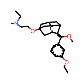 CCOc1cccc(C(OC)=C2C3CC4CC2CC(OCCN(C)CC)(C4)C3)c1